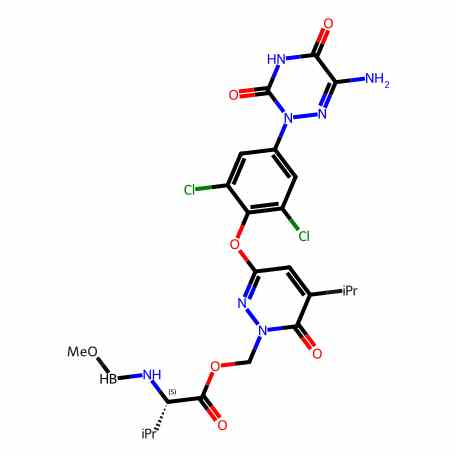 COBN[C@H](C(=O)OCn1nc(Oc2c(Cl)cc(-n3nc(N)c(=O)[nH]c3=O)cc2Cl)cc(C(C)C)c1=O)C(C)C